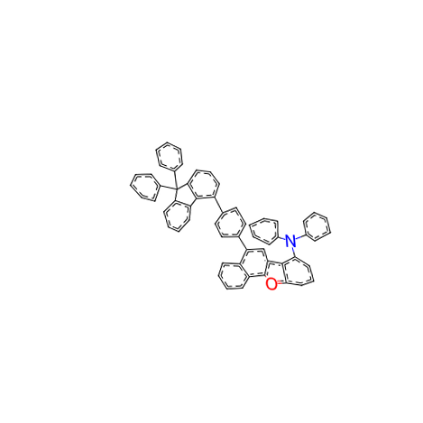 c1ccc(N(c2ccccc2)c2cccc3oc4c5ccccc5c(-c5ccc(-c6cccc7c6-c6ccccc6C7(c6ccccc6)c6ccccc6)cc5)cc4c23)cc1